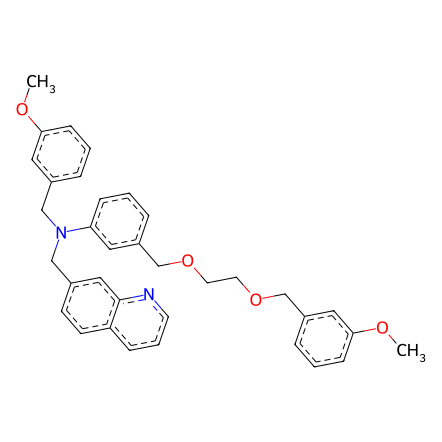 COc1cccc(COCCOCc2cccc(N(Cc3cccc(OC)c3)Cc3ccc4cccnc4c3)c2)c1